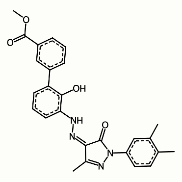 COC(=O)c1cccc(-c2cccc(NN=C3C(=O)N(c4ccc(C)c(C)c4)N=C3C)c2O)c1